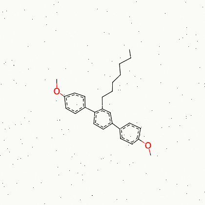 CCCCCCCc1cc(-c2ccc(OC)cc2)ccc1-c1ccc(OC)cc1